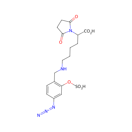 [N-]=[N+]=Nc1ccc(CNCCCCC(C(=O)O)N2C(=O)CCC2=O)c(OS(=O)(=O)O)c1